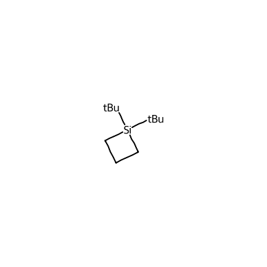 CC(C)(C)[Si]1(C(C)(C)C)CCC1